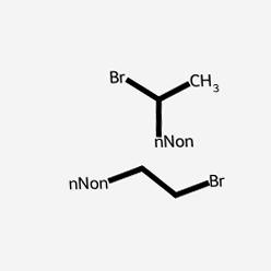 CCCCCCCCCC(C)Br.CCCCCCCCCCCBr